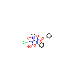 O=C(NC(Cc1ccccc1)C(N(CCCl)C(=O)O)N1C(=O)CCC1=O)OCc1ccccc1